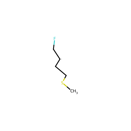 CSCC[CH]CF